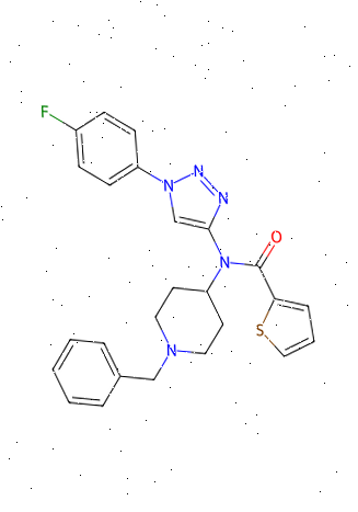 O=C(c1cccs1)N(c1cn(-c2ccc(F)cc2)nn1)C1CCN(Cc2ccccc2)CC1